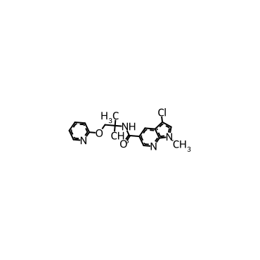 Cn1cc(Cl)c2cc(C(=O)NC(C)(C)COc3ccccn3)cnc21